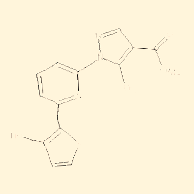 COC(=O)c1cnn(-c2cccc(-c3sccc3O)n2)c1C(F)(F)F